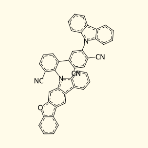 N#Cc1cc(C#N)c(-n2c3ccccc3c3ccccc32)cc1-c1cccc(C#N)c1-n1c2ccccc2c2cc3c(cc21)oc1ccccc13